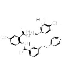 Cc1ccc(C=NNC(=O)c2cc(Br)ccc2NC(=O)c2cccc(CSc3ccncc3)c2)cc1C